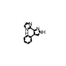 [c]1c[nH]c(-c2n[nH]cc2-c2ccccc2)n1